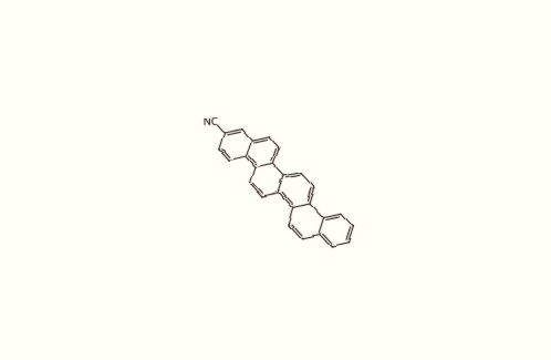 N#Cc1ccc2c(ccc3c2ccc2c4ccc5ccccc5c4ccc32)c1